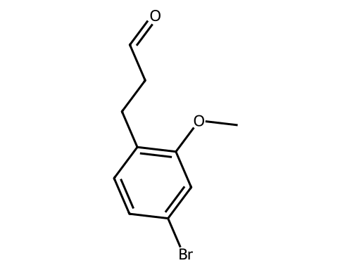 COc1cc(Br)ccc1CCC=O